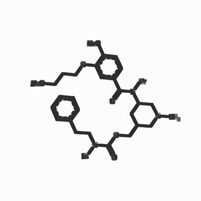 BN1CC(COC(=O)N(CC)CCc2ccccc2)CC(N(C(=O)c2ccc(OC)c(OCCCOC)c2)C(C)C)C1